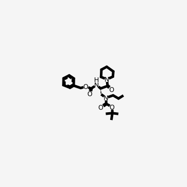 CCCN(C[C@H](NC(=O)OCc1ccccc1)C(=O)N1CCCCC1)C(=O)OC(C)(C)C